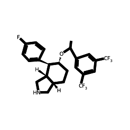 CC(O[C@@H]1CC[C@@H]2CNC[C@@H]2[C@H]1c1ccc(F)cc1)c1cc(C(F)(F)F)cc(C(F)(F)F)c1